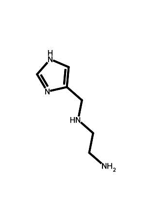 NCCNCc1c[nH]cn1